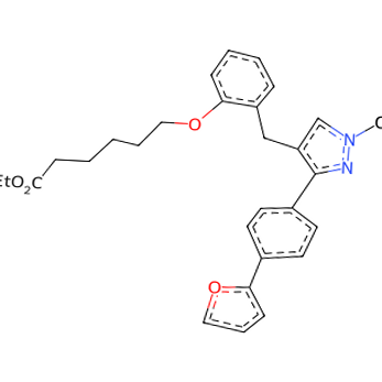 CCOC(=O)CCCCCOc1ccccc1Cc1cn(C)nc1-c1ccc(-c2ccco2)cc1